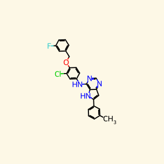 Cc1cccc(-c2cc3ncnc(Nc4ccc(OCc5cccc(F)c5)c(Cl)c4)c3[nH]2)c1